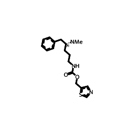 CN[C@H](CCCNC(=O)OCc1cncs1)Cc1ccccc1